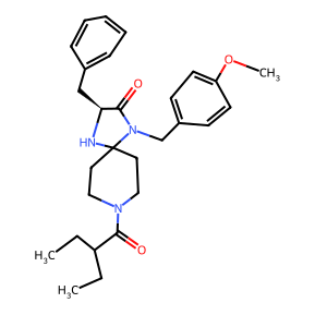 CCC(CC)C(=O)N1CCC2(CC1)N[C@@H](Cc1ccccc1)C(=O)N2Cc1ccc(OC)cc1